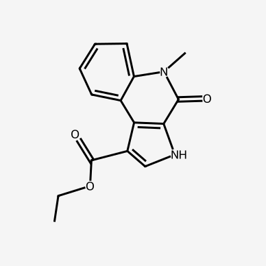 CCOC(=O)c1c[nH]c2c(=O)n(C)c3ccccc3c12